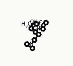 CC1(C)c2ccccc2-c2c(N(c3cccc4c3C(C)(C)c3ccccc3-4)c3cccc4c(-c5ccc(-n6c7ccccc7c7ccccc76)cc5)cccc34)cccc21